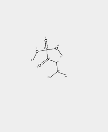 COP(=O)(OC)C(=O)CC(C)C